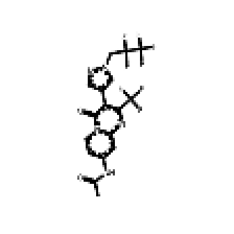 CC(=O)Nc1ccn2c(=O)c(-c3cnn(CC(F)(F)C(F)(F)F)c3)c(C(F)(F)F)nc2c1